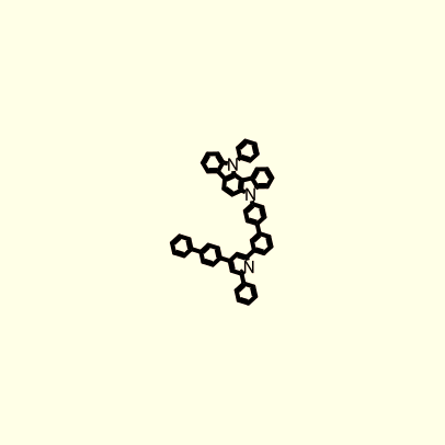 c1ccc(-c2ccc(-c3cc(-c4ccccc4)nc(-c4cccc(-c5ccc(-n6c7ccccc7c7c6ccc6c8ccccc8n(-c8ccccc8)c67)cc5)c4)c3)cc2)cc1